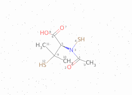 CC(=O)N(S)[C@H](C(=O)O)C(C)(C)S